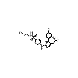 CC(C)OCCNS(=O)(=O)c1ccc(Nc2ncc3c(n2)-c2ccc(Cl)cc2NC(=O)C3)cc1